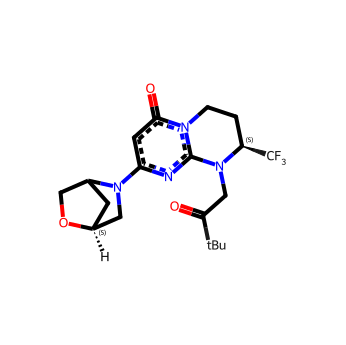 CC(C)(C)C(=O)CN1c2nc(N3C[C@@H]4CC3CO4)cc(=O)n2CC[C@H]1C(F)(F)F